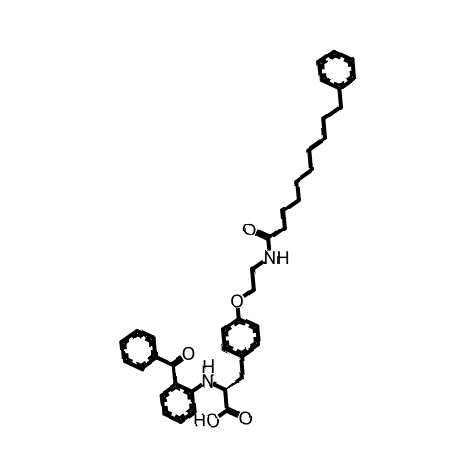 O=C(CCCCCCCCCc1ccccc1)NCCOc1ccc(C[C@H](Nc2ccccc2C(=O)c2ccccc2)C(=O)O)cc1